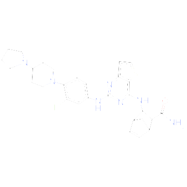 NC(=O)C1C2C=CC(C2)C1Nc1nc(Nc2ccc(N3CCC(N4CCCC4)CC3)c(F)c2)nc2ccsc12